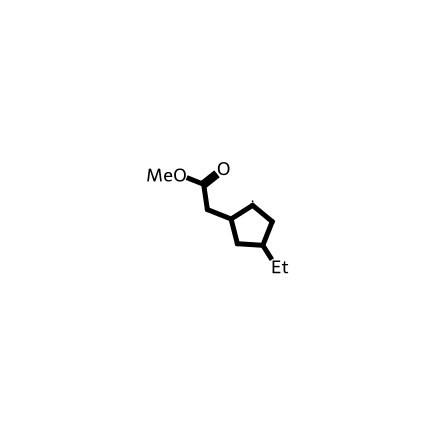 [CH2]CC1C[CH]C(CC(=O)OC)C1